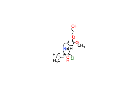 COc1cc2c(cc1OCCCO)CCN1C[C@@H](CC(C)C)C(O)(CCl)C[C@H]21